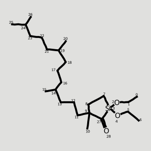 CCO[Si]1(OCC)CCC(C)(CCCC(C)CCCC(C)CCCC(C)C)C1=O